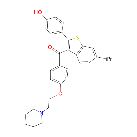 CC(C)c1ccc2c(C(=O)c3ccc(OCCN4CCCCC4)cc3)c(-c3ccc(O)cc3)sc2c1